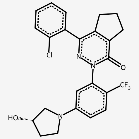 O=c1c2c(c(-c3ccccc3Cl)nn1-c1cc(N3CC[C@H](O)C3)ccc1C(F)(F)F)CCC2